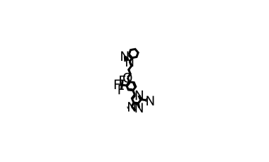 Cn1cnc2c(C#N)nc(-c3ccc(OCCCn4cnc5c4CCCC5)c(C(F)(F)F)c3)cc21